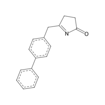 O=C1CCC(Cc2ccc(-c3ccccc3)cc2)=N1